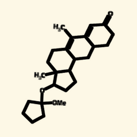 COC1(OC2CCC3C4CC5CCC(=O)C=C5C(C)=C4CCC23C)CCCC1